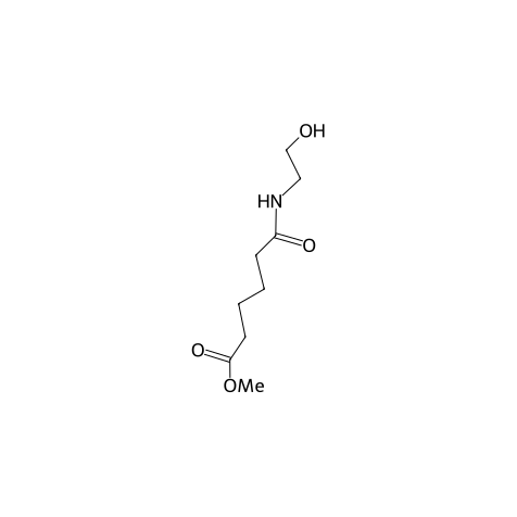 COC(=O)CCCCC(=O)NCCO